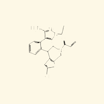 C=CC(=O)N1Cc2sc(Cl)cc2C(c2ccccc2-c2cn(CC)nc2N)C1